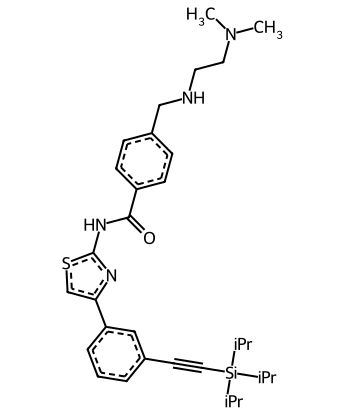 CC(C)[Si](C#Cc1cccc(-c2csc(NC(=O)c3ccc(CNCCN(C)C)cc3)n2)c1)(C(C)C)C(C)C